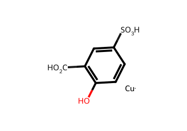 O=C(O)c1cc(S(=O)(=O)O)ccc1O.[Cu]